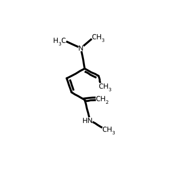 C=C(/C=C\C(=C/C)N(C)C)NC